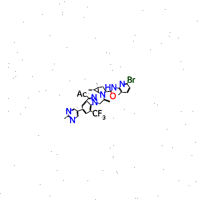 C=C(Cn1nc(C(C)=O)c2cc(-c3cnc(C)nc3)cc(C(F)(F)F)c21)N1C2[C@@H](C)[C@@]2(C)C[C@H]1C(=O)Nc1nc(Br)ccc1C